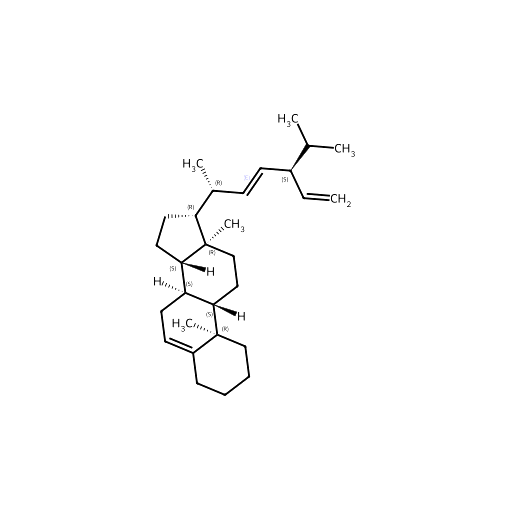 C=C[C@@H](/C=C/[C@@H](C)[C@H]1CC[C@H]2[C@@H]3CC=C4CCCC[C@]4(C)[C@H]3CC[C@]12C)C(C)C